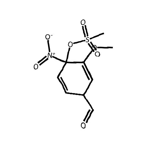 COC1=CC(C=O)C=CC1(OS(C)(=O)=O)[N+](=O)[O-]